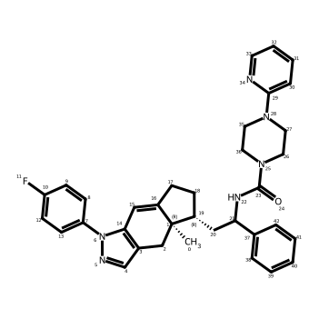 C[C@]12Cc3cnn(-c4ccc(F)cc4)c3C=C1CC[C@@H]2CC(NC(=O)N1CCN(c2ccccn2)CC1)c1ccccc1